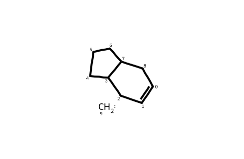 C1=CCC2CCCC2C1.[CH2]